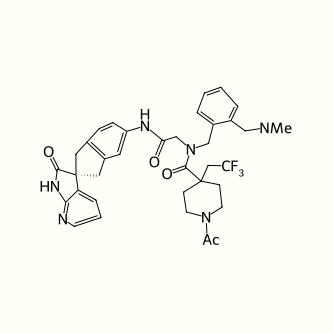 CNCc1ccccc1CN(CC(=O)Nc1ccc2c(c1)C[C@@]1(C2)C(=O)Nc2ncccc21)C(=O)C1(CC(F)(F)F)CCN(C(C)=O)CC1